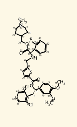 COc1ccc([C@H](Cc2c(Cl)cncc2Cl)OC(=O)c2ccc(CNC(C(=O)OCC3CCN(C)CC3)c3ccccc3F)s2)cc1OC